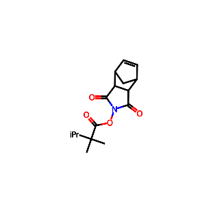 CC(C)C(C)(C)C(=O)ON1C(=O)C2C3C=CC(C3)C2C1=O